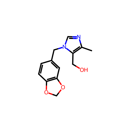 Cc1ncn(Cc2ccc3c(c2)OCO3)c1CO